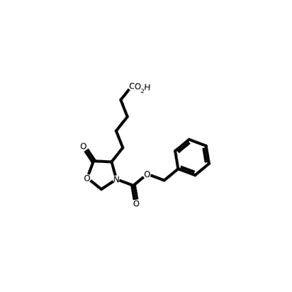 O=C(O)CCCCC1C(=O)OCN1C(=O)OCc1ccccc1